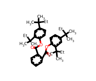 CCC(C)(C)c1ccc(OC(=O)c2ccccc2C(=O)Oc2ccc(C(C)(C)CC)cc2C(C)(C)CC)c(C(C)(C)CC)c1